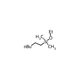 CCCCCC[Si](C)(C)OCC